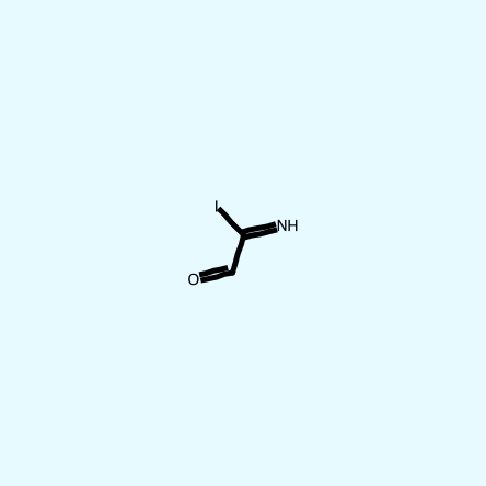 N=C(I)C=O